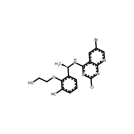 C[C@@H](Nc1nc(Cl)nc2ncc(Br)cc12)c1cccc(C#N)c1OCCO